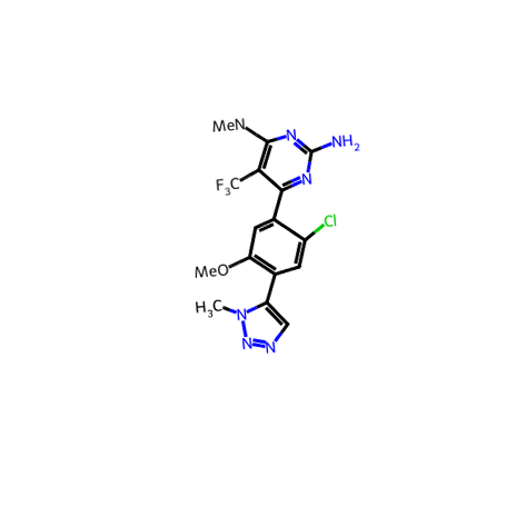 CNc1nc(N)nc(-c2cc(OC)c(-c3cnnn3C)cc2Cl)c1C(F)(F)F